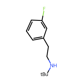 CC(C)(C)NCCc1cccc(F)c1